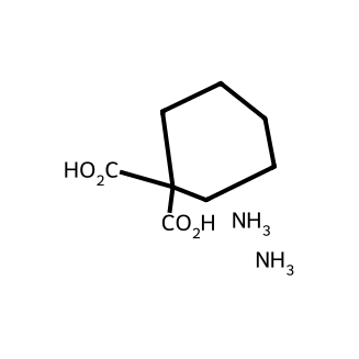 N.N.O=C(O)C1(C(=O)O)CCCCC1